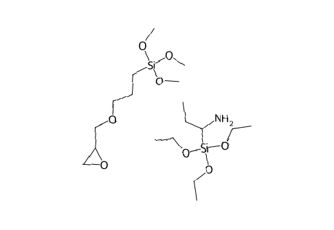 CCO[Si](OCC)(OCC)C(N)CC.CO[Si](CCCOCC1CO1)(OC)OC